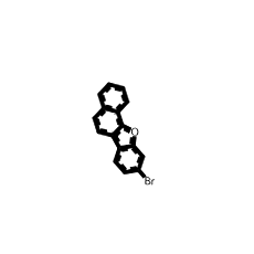 Brc1ccc2c(c1)oc1c3ccccc3ccc21